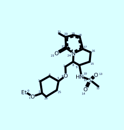 CCOC1CCC(OCC2C(NS(C)(=O)=O)CCc3ccc(C)c(=O)n32)CC1